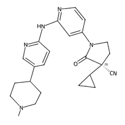 CN1CCC(c2ccc(Nc3cc(N4CC[C@@](C#N)(C5CC5)C4=O)ccn3)nc2)CC1